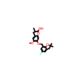 COc1cc(CC(C)C(=O)O)ccc1OCc1cc(F)cc2c1OC(C)(C)C2